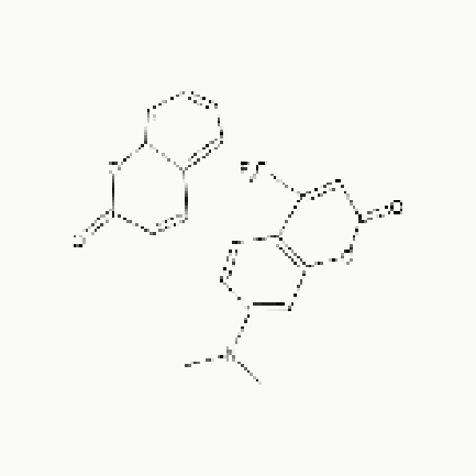 CN(C)c1ccc2c(C(F)(F)F)cc(=O)oc2c1.O=c1ccc2ccccc2o1